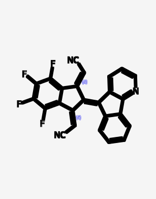 N#C/C=C1/C(=C2c3ccccc3-c3ncccc32)/C(=C/C#N)c2c(F)c(F)c(F)c(F)c21